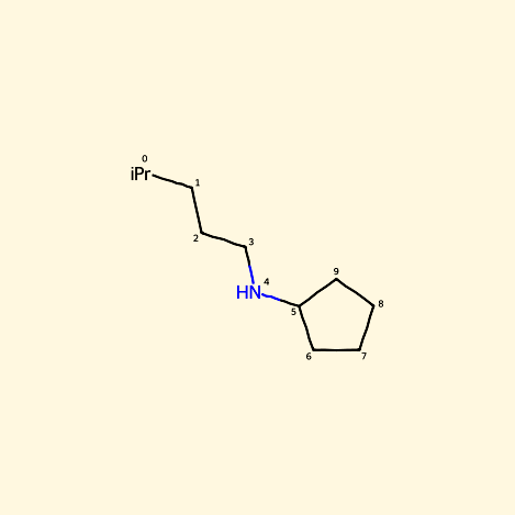 CC(C)CCCNC1CCCC1